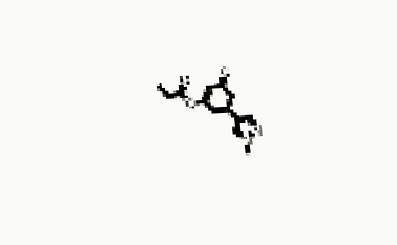 CCC(=O)OC1=CC(=O)CC(c2cnn(C)c2)C1